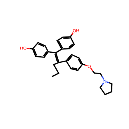 CCCC(=C(c1ccc(O)cc1)c1ccc(O)cc1)c1ccc(OCCN2CCCC2)cc1